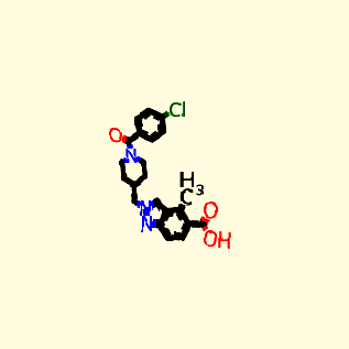 Cc1c(C(=O)O)ccc2nn(CC3CCN(C(=O)c4ccc(Cl)cc4)CC3)cc12